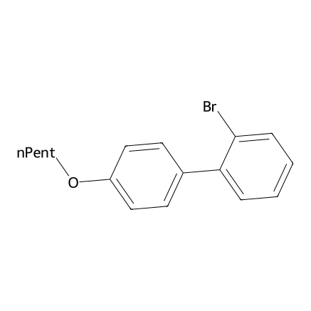 CCCCCOc1ccc(-c2ccccc2Br)cc1